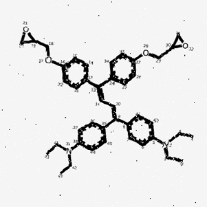 CCN(CC)c1ccc(C(=CC=C(c2ccc(OCC3CO3)cc2)c2ccc(OCC3CO3)cc2)c2ccc(N(CC)CC)cc2)cc1